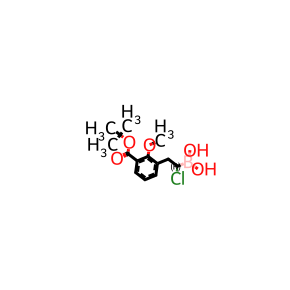 COc1c(C[C@H](Cl)B(O)O)cccc1C(=O)OC(C)(C)C